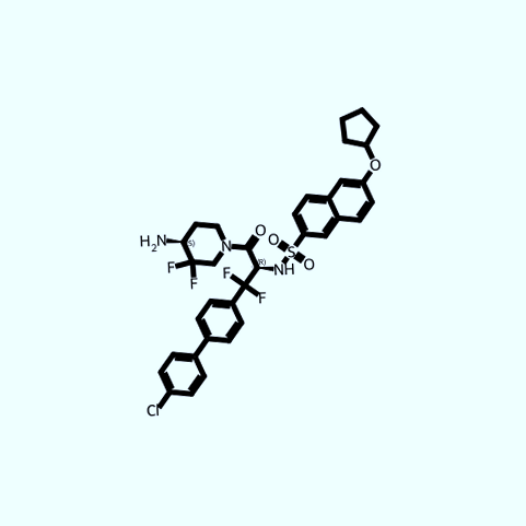 N[C@H]1CCN(C(=O)[C@@H](NS(=O)(=O)c2ccc3cc(OC4CCCC4)ccc3c2)C(F)(F)c2ccc(-c3ccc(Cl)cc3)cc2)CC1(F)F